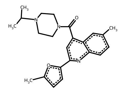 Cc1ccc2nc(-c3ccc(C)o3)cc(C(=O)N3CCN(C(C)C)CC3)c2c1